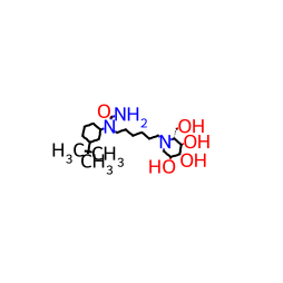 CC(C)(C)C1CCCC(N(CCCCCCN2C[C@H](O)[C@@H](O)[C@H](O)[C@H]2CO)C(N)=O)C1